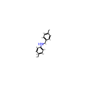 Cc1ccc(CNc2ccc(C)cc2)cc1